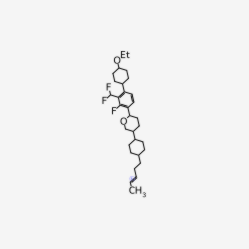 C/C=C/CCC1CCC(C2CCC(c3ccc(C4CCC(OCC)CC4)c(C(F)F)c3F)OC2)CC1